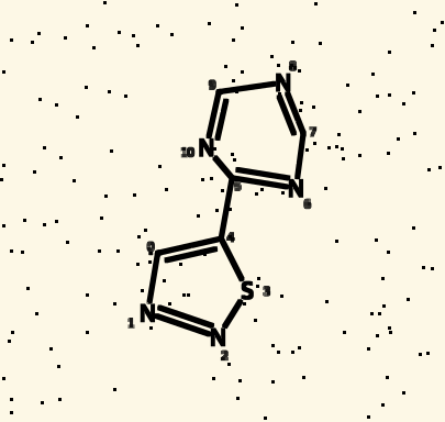 [c]1nnsc1-c1ncncn1